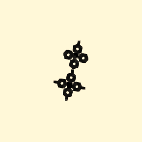 Cc1ccc([B-](c2ccc(C)cc2)(c2ccc(C)cc2)c2ccc(C)cc2)cc1.Cc1ccc([P+](c2ccccc2)(c2ccccc2)c2ccccc2)cc1